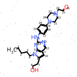 CCCCCn1c(CCO)cc2cnc(Nc3ccc(N4CCN(CC=O)CC4)cc3)nc21